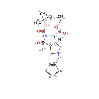 CCOC(=O)[C@@H]1[C@H]2CN(Cc3ccccc3)C[C@H]2C(=O)N1C(=O)OC(C)(C)C